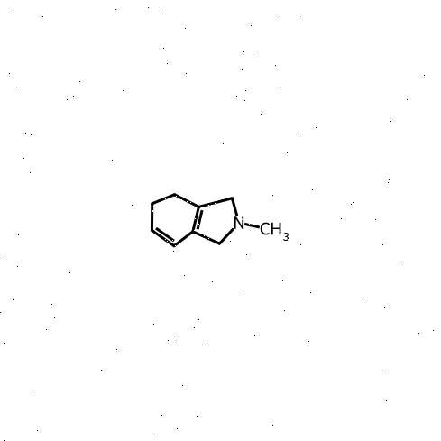 CN1CC2=C(CCC=C2)C1